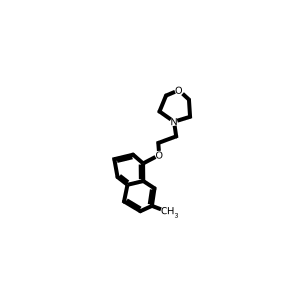 Cc1ccc2cccc(OCCN3CCOCC3)c2c1